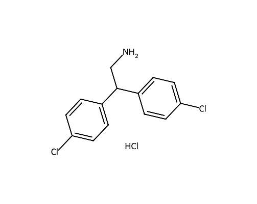 Cl.NCC(c1ccc(Cl)cc1)c1ccc(Cl)cc1